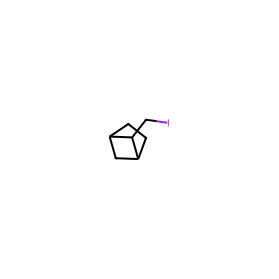 ICC1C2CCC1C2